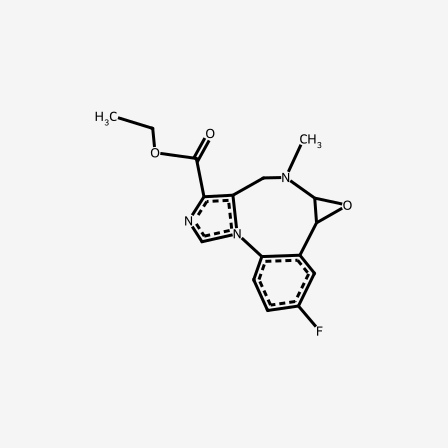 CCOC(=O)c1ncn2c1CN(C)C1OC1c1cc(F)ccc1-2